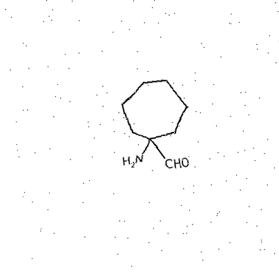 NC1(C=O)CCCCCC1